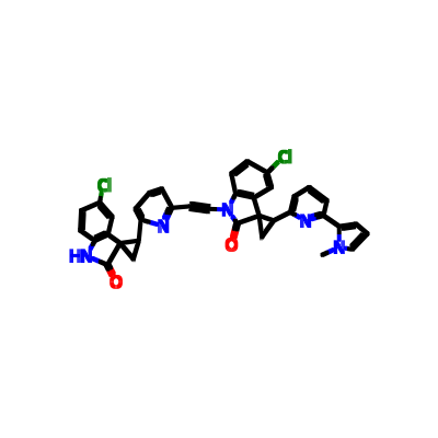 Cn1cccc1-c1cccc(C2CC23C(=O)N(C#Cc2cccc(C4CC45C(=O)Nc4ccc(Cl)cc45)n2)c2ccc(Cl)cc23)n1